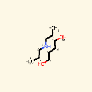 CCCNCCC.OCCCCO